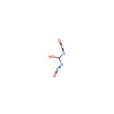 O=C=NC(O)N=C=O